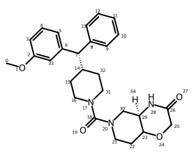 COc1cccc([C@H](c2ccccc2)C2CCN(C(=O)N3CCC4OCC(=O)N[C@@H]4C3)CC2)c1